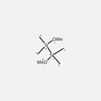 CO[Si](C)(C)[Si](C)(C)OC